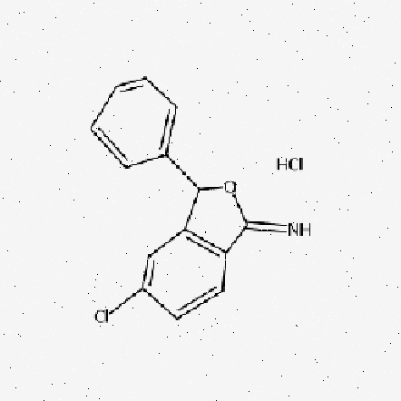 Cl.N=C1OC(c2ccccc2)c2cc(Cl)ccc21